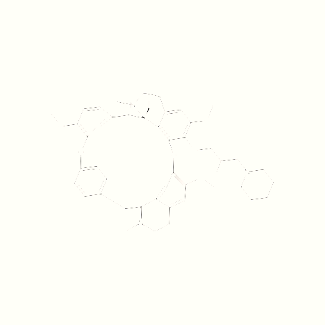 COc1ccc2cc1Oc1ccc(cc1)C[C@H]1c3cc(c(OC)cc3CCN1C)Oc1c(OCC(O)CN3CCCCC3)c(OC)cc3c1[C@H](C2)N(C)CC3